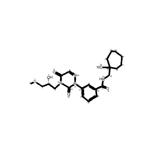 COC[C@H](O)Cn1c(=O)cnn(-c2cccc(C(=O)NCC3(O)CCCCCC3)c2)c1=O